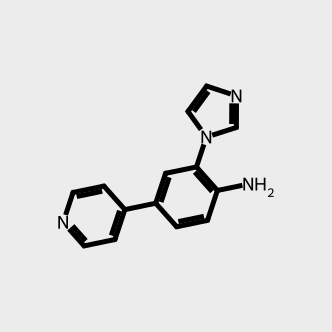 Nc1ccc(-c2ccncc2)cc1-n1ccnc1